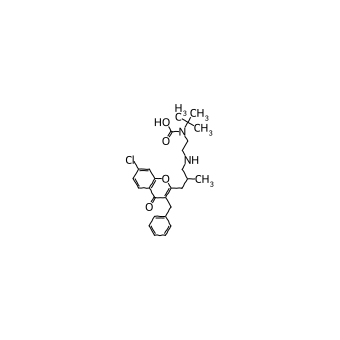 CC(CNCCN(C(=O)O)C(C)(C)C)Cc1oc2cc(Cl)ccc2c(=O)c1Cc1ccccc1